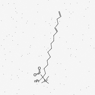 C=CCCC=CCCCCCCCCCCC(CCC)(P(=O)=O)[N+](C)(C)C